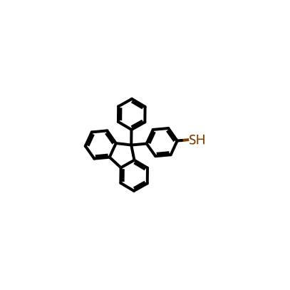 Sc1ccc(C2(c3ccccc3)c3ccccc3-c3ccccc32)cc1